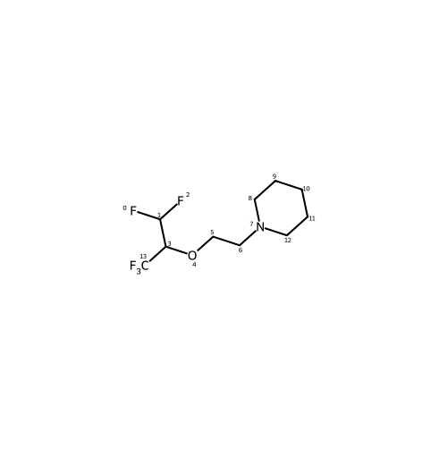 FC(F)C(OCCN1CCCCC1)C(F)(F)F